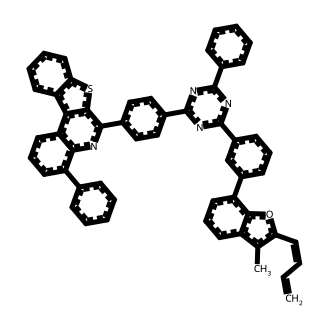 C=C/C=C\c1oc2c(-c3cccc(-c4nc(-c5ccccc5)nc(-c5ccc(-c6nc7c(-c8ccccc8)cccc7c7c6sc6ccccc67)cc5)n4)c3)cccc2c1C